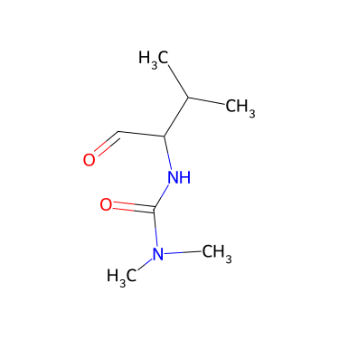 CC(C)C(C=O)NC(=O)N(C)C